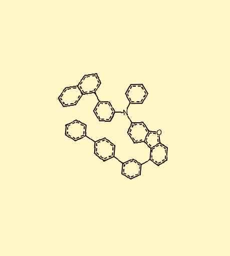 c1ccc(-c2ccc(-c3cccc(-c4cccc5oc6cc(N(c7ccccc7)c7cccc(-c8cccc9ccccc89)c7)ccc6c45)c3)cc2)cc1